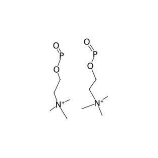 C[N+](C)(C)CCOP=O.C[N+](C)(C)CCOP=O